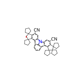 N#Cc1cc2c(c3c1C1(CCCC1)C1(CCCC1)C31CCCC1)c1cccc3c4c5c(c(C#N)cc4n2c13)C1(CCCC1)C1(CCCC1)C51CCCC1